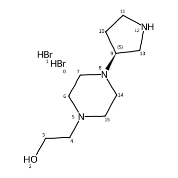 Br.Br.OCCN1CCN([C@H]2CCNC2)CC1